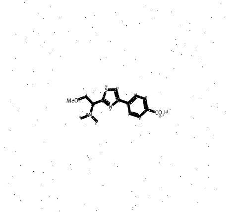 COCC(c1nc(-c2ccc(C(=O)O)cc2)cs1)N(C)C